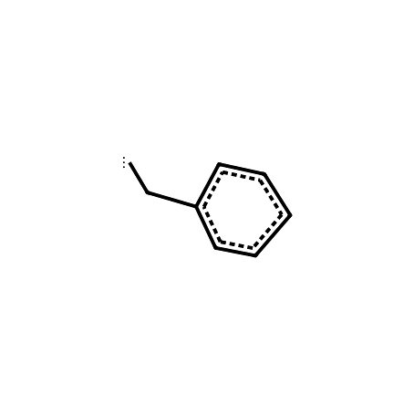 [C]Cc1ccccc1